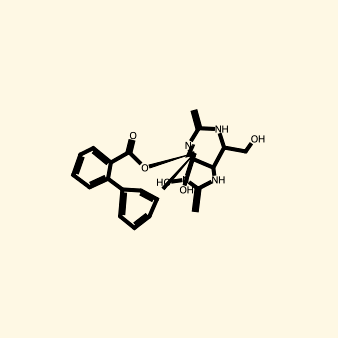 C=C1NC2C(CO)NC(=C)N3C[C@H](OC(=O)c4ccccc4-c4ccccc4)[C@](C)(O)C23N1O